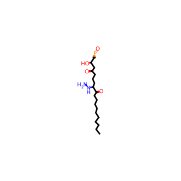 CCCCCCCCCCC(=O)C(CCCC(=O)CC(O)C#P=O)NN